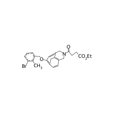 CCOC(=O)CCC(=O)N1CC2=CC(OCc3cccc(Br)c3C)=C3C=CC(=C2C3)C1